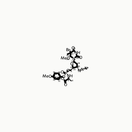 COC(=O)[C@H](C)NP(=O)(OC[C@H]1O[C@@H](N2C(=O)NC(=O)C(C)(Br)C2OC)C[C@@H]1N=[N+]=[N-])Oc1ccc(OC)cc1